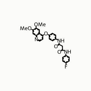 COc1cc2nccc(Oc3ccc(NC(=O)CC(=O)Nc4ccc(F)cc4)cc3)c2cc1OC